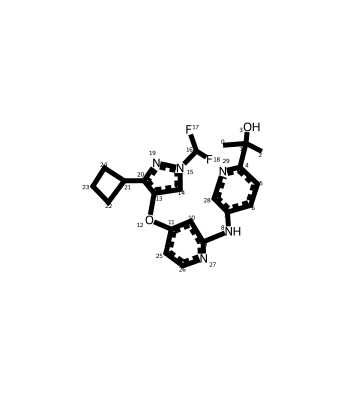 CC(C)(O)c1ccc(Nc2cc(Oc3cn(C(F)F)nc3C3CCC3)ccn2)cn1